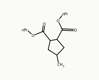 CCCOC(=O)C1CC(C)CC1C(=O)OCCC